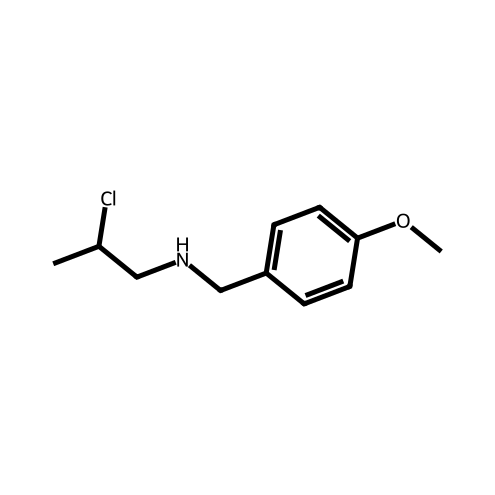 COc1ccc(CNCC(C)Cl)cc1